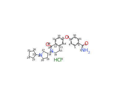 Cl.NC(=O)c1ccc(Oc2ccc3c(c2)CCN([C@@H]2CCN(C4CCCC4)C2)C3=O)cc1